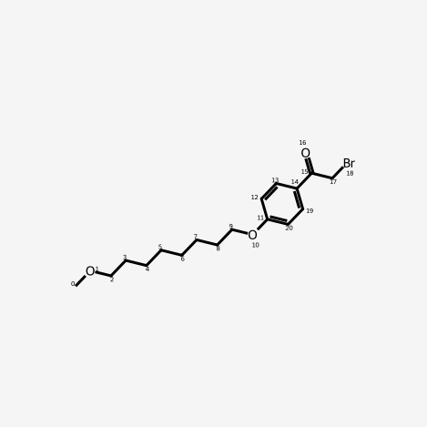 COCCCCCCCCOc1ccc(C(=O)CBr)cc1